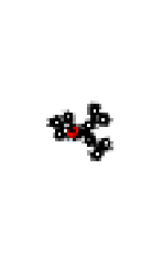 c1ccc([Si](c2ccccc2)(c2ccccc2)c2ccccc2-c2ccc(-n3c4ccc(-n5c6ccccc6c6ccccc65)cc4c4cc(-n5c6ccccc6c6ccccc65)ccc43)cc2)cc1